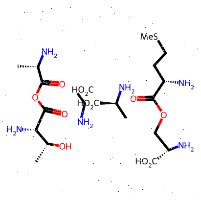 CSCC[C@H](N)C(=O)OC[C@H](N)C(=O)O.C[C@H](N)C(=O)O.C[C@H](N)C(=O)OC(=O)[C@@H](N)[C@@H](C)O.NCC(=O)O